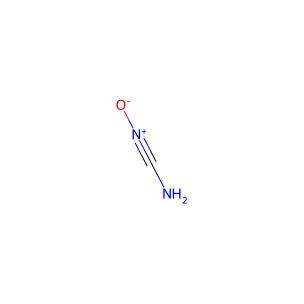 NC#[N+][O-]